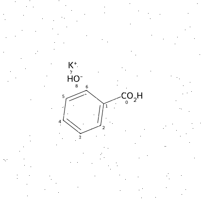 O=C(O)c1ccccc1.[K+].[OH-]